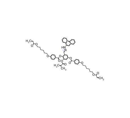 C=CC(=O)OCCCCCCOc1ccc(C(=O)Oc2cc(/C=N/Nc3cc4ccccc4c4ccccc34)c(OC(=O)c3ccc(OCCCCCCOC(=O)C=C)cc3)c(OC(=O)C(=C)C)c2)cc1